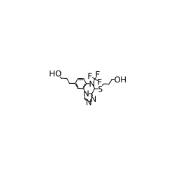 OCCCSC1c2nncn2-c2cc(CCCO)ccc2N1C(F)(F)F